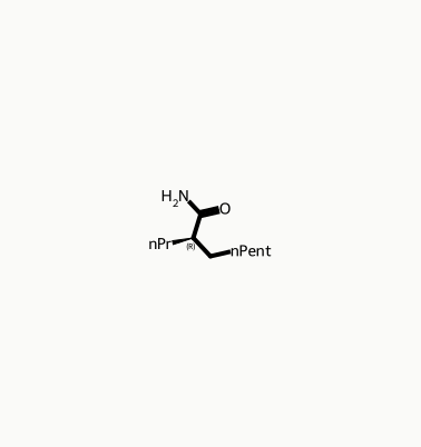 CCCCCC[C@@H](CCC)C(N)=O